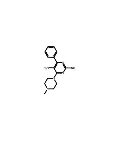 CN1CCN(c2nc(N)nc(-c3ccccc3)c2N)CC1